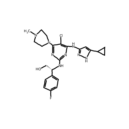 CN1CCN(c2nc(N[C@@H](CO)c3ccc(F)cc3)nc(Nc3cc(C4CC4)[nH]n3)c2Cl)CC1